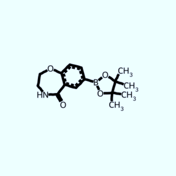 CC1(C)OB(c2ccc3c(c2)C(=O)NCCO3)OC1(C)C